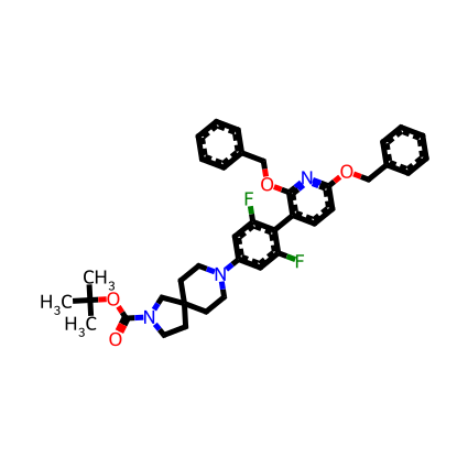 CC(C)(C)OC(=O)N1CCC2(CCN(c3cc(F)c(-c4ccc(OCc5ccccc5)nc4OCc4ccccc4)c(F)c3)CC2)C1